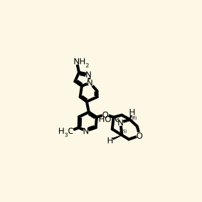 Cc1cc(-c2ccn3nc(N)cc3c2)c(OC2C[C@H]3COC[C@@H](C2)N3C(=O)O)cn1